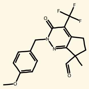 COc1ccc(Cn2nc3c(c(C(F)(F)F)c2=O)CCC3(C)C=O)cc1